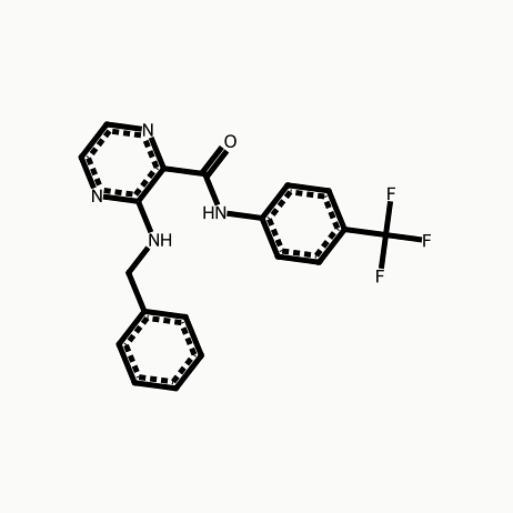 O=C(Nc1ccc(C(F)(F)F)cc1)c1nccnc1NCc1ccccc1